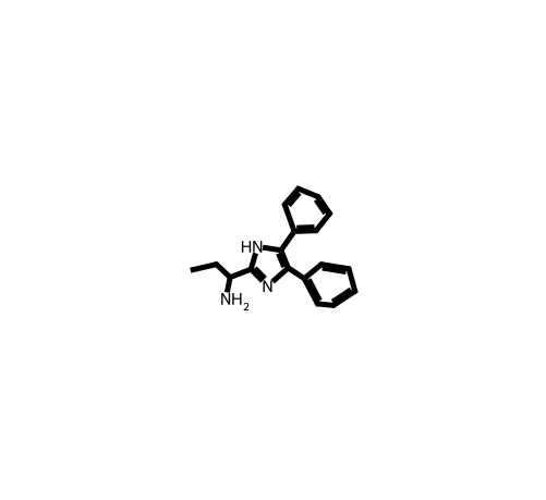 CCC(N)c1nc(-c2ccccc2)c(-c2ccccc2)[nH]1